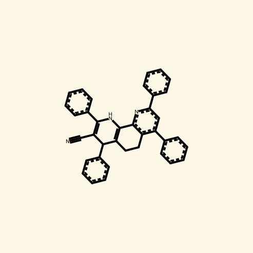 N#CC1=C(c2ccccc2)NC2=C(CCc3c(-c4ccccc4)cc(-c4ccccc4)nc32)C1c1ccccc1